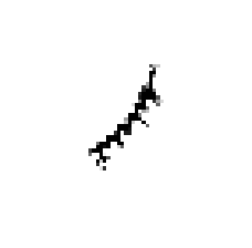 C=C(C=O)CC/C=C(\C)CC/C=C(\C)CCC=C(C)C